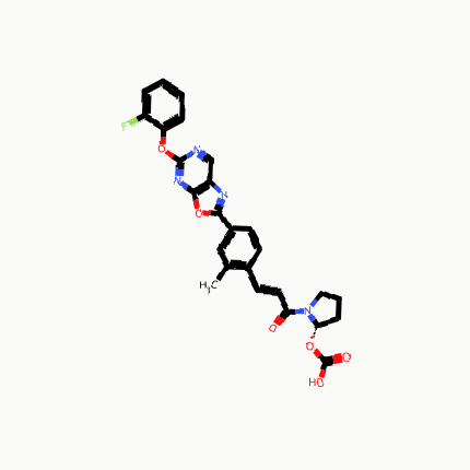 Cc1cc(-c2nc3cnc(Oc4ccccc4F)nc3o2)ccc1/C=C/C(=O)N1CCC[C@@H]1OC(=O)O